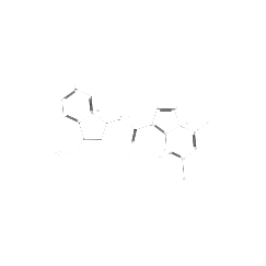 COC1CC(NC(=O)c2ccn3c(C)cc(C)nc23)c2ccccc21